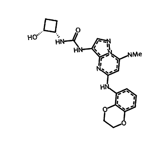 CNc1cc(Nc2cccc3c2OCCO3)nc2c(NC(=O)N[C@H]3CC[C@H]3O)cnn12